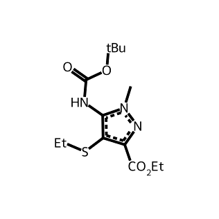 CCOC(=O)c1nn(C)c(NC(=O)OC(C)(C)C)c1SCC